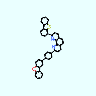 c1ccc2c(c1)oc1ccc(-c3ccc(-c4ccc5ccc6ccc(-c7cccc8c7sc7ccccc78)nc6c5n4)cc3)cc12